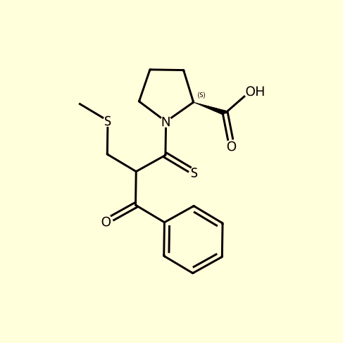 CSCC(C(=O)c1ccccc1)C(=S)N1CCC[C@H]1C(=O)O